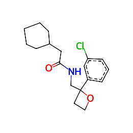 O=C(CC1CCCCC1)NCC1(c2cccc(Cl)c2)CCO1